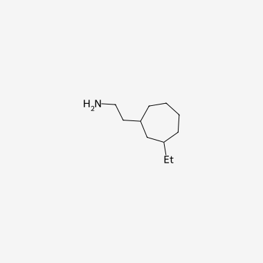 CCC1CCCCC(CCN)C1